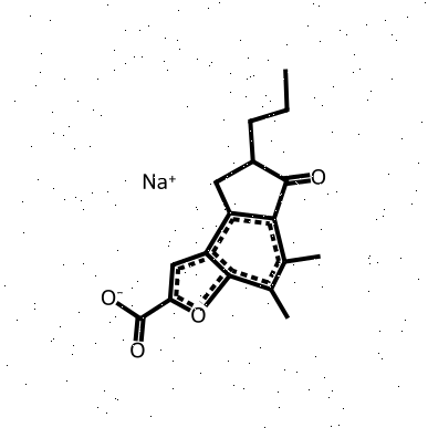 CCCC1Cc2c(c(C)c(C)c3oc(C(=O)[O-])cc23)C1=O.[Na+]